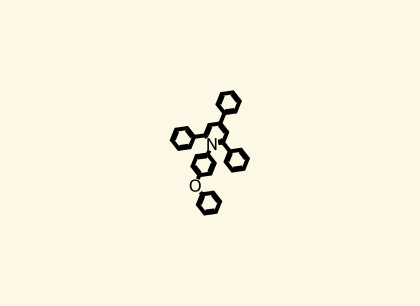 c1ccc(Oc2ccc(-[n+]3c(-c4ccccc4)cc(-c4ccccc4)cc3-c3ccccc3)cc2)cc1